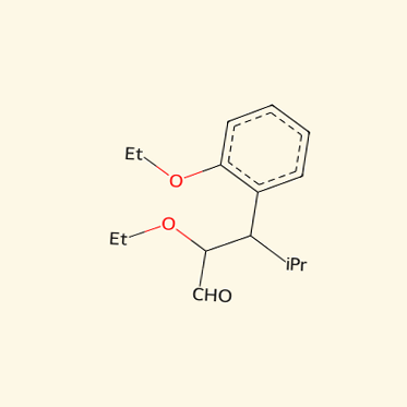 CCOc1ccccc1C(C(C)C)C(C=O)OCC